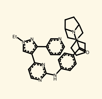 CCn1cc(-c2ccnc(Nc3ccc(C(=O)N4CC5CCC(C4)N5C4CCCC4)cc3)n2)c(-c2cccnc2)n1